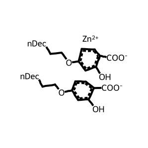 CCCCCCCCCCCCOc1ccc(C(=O)[O-])c(O)c1.CCCCCCCCCCCCOc1ccc(C(=O)[O-])c(O)c1.[Zn+2]